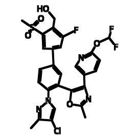 Cc1nc(-c2ccc(OC(F)F)nc2)c(-c2cc(-c3cc(F)c(CO)c(S(C)(=O)=O)c3)ccc2-n2cc(Cl)c(C)n2)o1